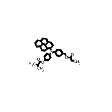 C=CC(=O)OCc1ccc(N(c2ccc(OC(=O)C(=C)C)cc2)c2ccc3ccc4cccc5ccc2c3c45)cc1